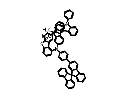 CC1(C)c2ccccc2-c2ccc(N(c3ccc(-c4ccc5c(c4)C4(c6ccccc6-c6ccccc64)c4ccccc4-5)cc3)c3cccc4sc5ccc(-c6ccc7c(c6)c6ccccc6n7-c6ccccc6)cc5c34)cc21